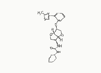 Cc1nc(-c2ccccc2O[C@H]2CO[C@H]3[C@@H]2OC[C@@H]3NC(=O)NC2CCCCC2)cs1